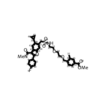 CNC(=O)c1c(-c2ccc(F)cc2)oc2cc(CS(=O)(=O)NCCOCCOCc3ccc(C(=O)OC)cc3C)c(C3CC3)cc12